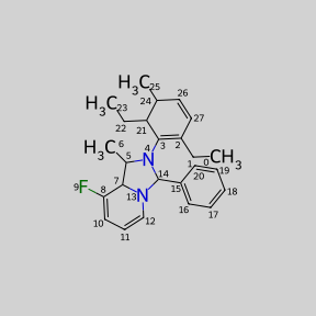 CCC1=C(N2C(C)C3C(F)=CC=CN3C2c2ccccc2)C(CC)C(C)C=C1